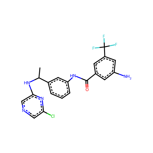 CC(Nc1cncc(Cl)n1)c1cccc(NC(=O)c2cc(N)cc(C(F)(F)F)c2)c1